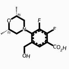 C[C@@H]1CN(c2c(CO)cc(C(=O)O)c(F)c2F)C[C@H](C)O1